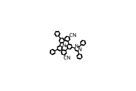 N#Cc1cccc(-c2cc(-c3cc(-c4ccccc4)nc(-c4ccccc4)n3)cc(-c3cccc(C#N)c3)c2-n2c3ccc(-c4ccccc4)cc3c3cc(-c4ccccc4)ccc32)c1